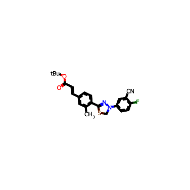 Cc1cc(/C=C/C(=O)OC(C)(C)C)ccc1C1=NN(c2ccc(F)c(C#N)c2)CS1